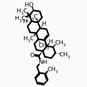 Cc1ccccc1CNC(=O)[C@]12CC[C@@H](C)[C@H](C)[C@H]1C1=CC[C@@H]3[C@@]4(C)CC[C@H](O)C(C)(C)[C@@H]4CC[C@@]3(C)[C@]1(C)CC2